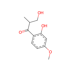 COc1ccc(C(=O)C(C)CO)c(O)c1